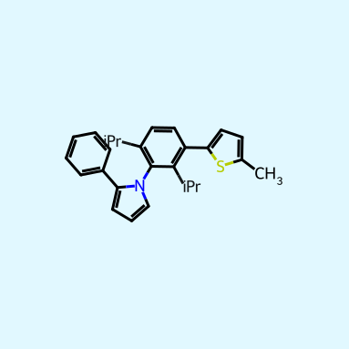 Cc1ccc(-c2ccc(C(C)C)c(-n3cccc3-c3ccccc3)c2C(C)C)s1